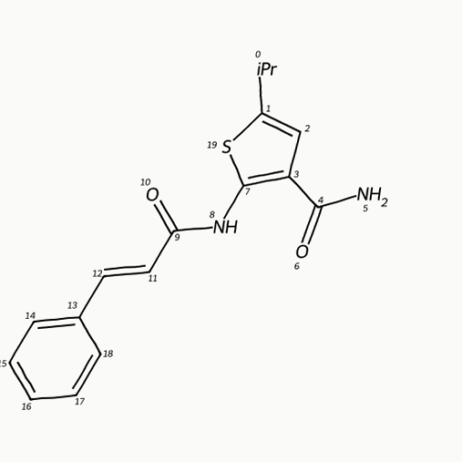 CC(C)c1cc(C(N)=O)c(NC(=O)/C=C/c2ccccc2)s1